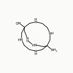 NC12CNCCNCC(N=O)(CNCCNC1)CNCCNC2